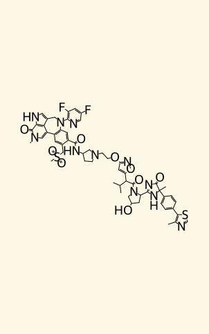 Cc1ncsc1-c1ccc(C2(C)NC(C3CC(O)CN3C(=O)C(c3cc(OCCN4CCC(NC(=O)c5cc6c(cc5CS(C)(=O)=O)-c5cn(C)c(=O)c7[nH]cc(c57)CN6c5ncc(F)cc5F)C4)no3)C(C)C)=NC2=O)cc1